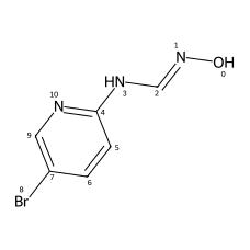 O/N=C/Nc1ccc(Br)cn1